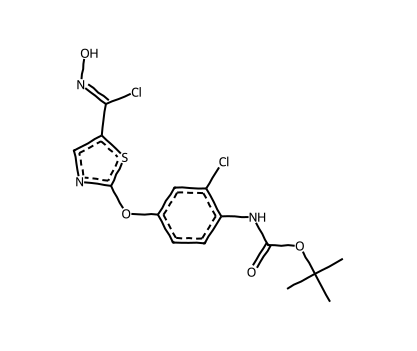 CC(C)(C)OC(=O)Nc1ccc(Oc2ncc(/C(Cl)=N/O)s2)cc1Cl